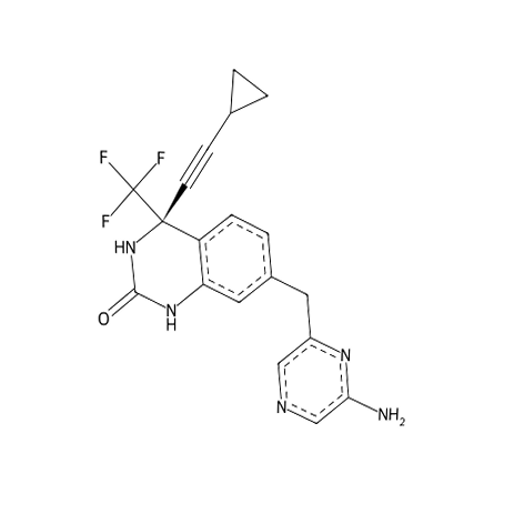 Nc1cncc(Cc2ccc3c(c2)NC(=O)N[C@]3(C#CC2CC2)C(F)(F)F)n1